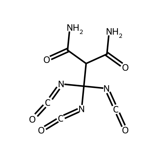 NC(=O)C(C(N)=O)C(N=C=O)(N=C=O)N=C=O